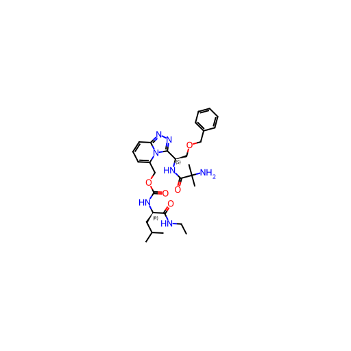 CCNC(=O)[C@@H](CC(C)C)NC(=O)OCc1cccc2nnc([C@@H](COCc3ccccc3)NC(=O)C(C)(C)N)n12